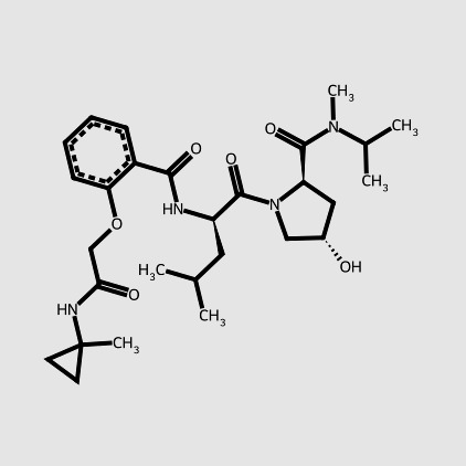 CC(C)C[C@@H](NC(=O)c1ccccc1OCC(=O)NC1(C)CC1)C(=O)N1C[C@@H](O)C[C@@H]1C(=O)N(C)C(C)C